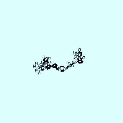 C[C@@H]1CN(c2ccc(-c3cc(CN4CCN(CCNC(=O)CCCNc5cccc6c5C(=O)N(C5CCC(=O)NC5=O)C6=O)CC4)ccc3F)cc2NC(=O)c2c[nH]c(=O)cc2C(F)(F)F)C[C@H](C)N1C